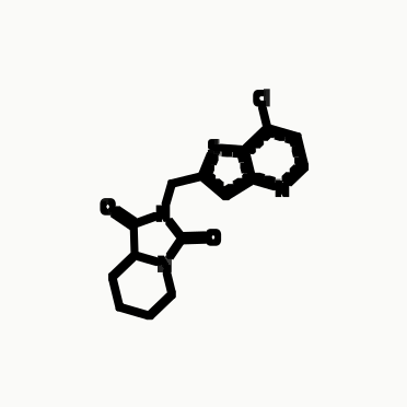 O=C1C2CCCCN2C(=O)N1Cc1cc2nccc(Cl)c2s1